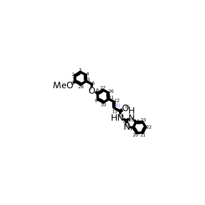 COc1cccc(COc2ccc(/C=C/C(=O)Nc3nc4ccccc4[nH]3)cc2)c1